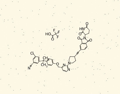 CC(C)(c1ccc(OCc2ccnc(N3CCC(C#Cc4ccc5c(c4)C(=O)N(C4CCC(=O)NC4=O)C5=O)CC3)n2)cc1)c1cc(Cl)cc(C#N)c1.O=C(O)C(F)(F)F